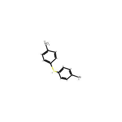 CC(C)c1ccc(Sc2ccc([N+](=O)[O-])cc2)cc1